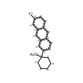 CC(=O)OC1(c2ccc3cc4ccc(F)cc4cc3c2)CCCCC1